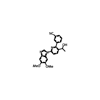 COc1cc2ncn(-c3ccc(C(C)O)c(-c4cccc(C#N)c4)n3)c2cc1OC